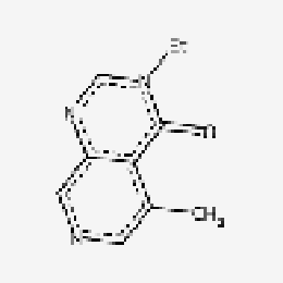 CCn1cnc2cncc(C)c2c1=O